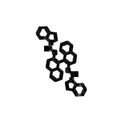 C1=CC2C=CC(OPn3ccc4ccccc43)=C(c3c(OPn4ccc5ccccc54)ccc4ccccc34)C2C=C1